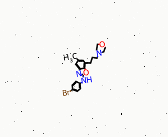 Cc1cc(CCCN2CCOCC2)c2oc(Nc3ccc(Br)cc3)nc2c1